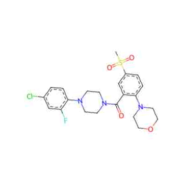 CS(=O)(=O)c1ccc(N2CCOCC2)c(C(=O)N2CCN(c3ccc(Cl)cc3F)CC2)c1